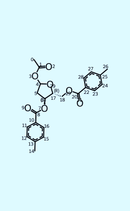 CC(=O)OC1C[C@H](OC(=O)c2ccc(C)cc2)[C@@H](COC(=O)c2ccc(C)cc2)O1